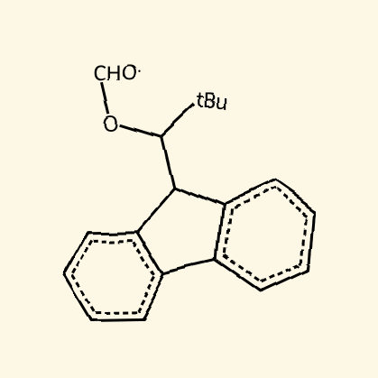 CC(C)(C)C(O[C]=O)C1c2ccccc2-c2ccccc21